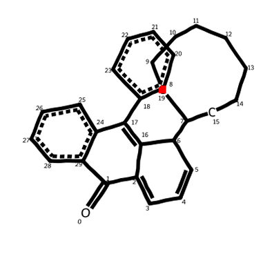 O=C1C2=CC=CC(C3[CH]CCCCCCC3)C2=C(c2ccccc2)c2ccccc21